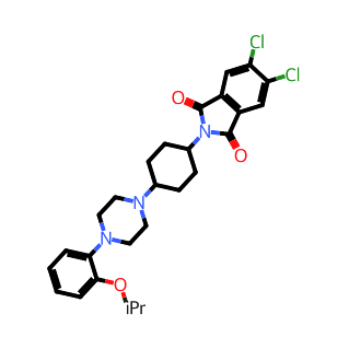 CC(C)Oc1ccccc1N1CCN(C2CCC(N3C(=O)c4cc(Cl)c(Cl)cc4C3=O)CC2)CC1